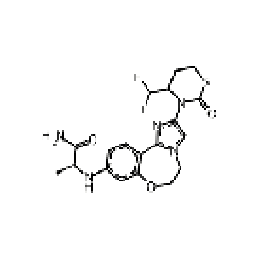 C[C@H](Nc1ccc2c(c1)OCCn1cc(N3C(=O)SCCC3C(F)F)nc1-2)C(N)=O